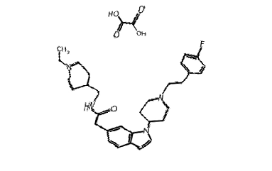 CCN1CCC(CNC(=O)Cc2ccc3ccn(C4CCN(CCc5ccc(F)cc5)CC4)c3c2)CC1.O=C(O)C(=O)O